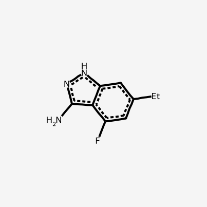 CCc1cc(F)c2c(N)n[nH]c2c1